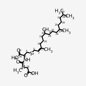 C/C(=C/CSCC(NC(=O)N(C)CC(=O)O)C(=O)O)CCCC(C)CCCC(C)CCCC(C)C